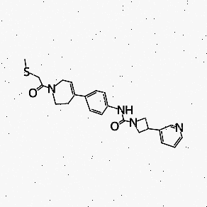 CSCC(=O)N1CC=C(c2ccc(NC(=O)N3CC(c4cccnc4)C3)cc2)CC1